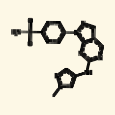 Cn1cc(Nc2ncc3cnn(-c4ccc(S(N)(=O)=O)cc4)c3n2)cn1